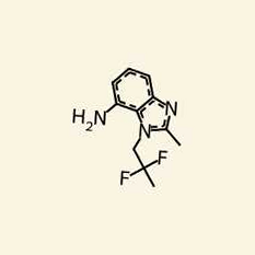 Cc1nc2cccc(N)c2n1CC(C)(F)F